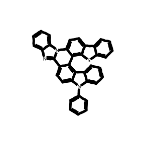 c1ccc(-n2c3ccccc3c3c4c(ccc32)c2nc3ccccc3n2c2ccc3c5ccccc5sc3c42)cc1